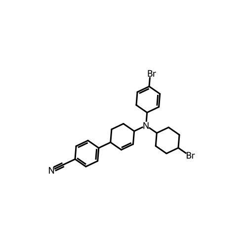 N#Cc1ccc(C2C=CC(N(C3C=CC(Br)=CC3)C3CCC(Br)CC3)CC2)cc1